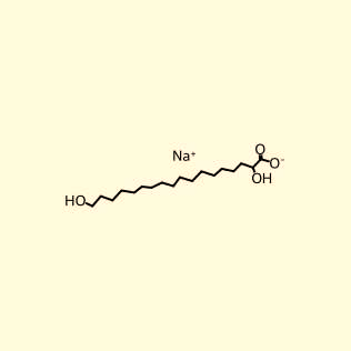 O=C([O-])C(O)CCCCCCCCCCCCCCCCO.[Na+]